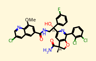 COc1cc(C(=O)NC[C@@](O)(c2cccc(F)c2)c2cc3c(c(-c4cccc(Cl)c4Cl)n2)OC[C@]3(C)C(N)=O)cc2cc(Cl)cnc12